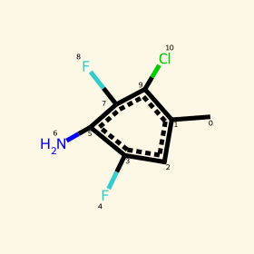 Cc1cc(F)c(N)c(F)c1Cl